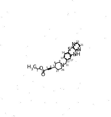 CCOC(=O)C#CC1CCN(Cc2ccc3c(c2)Nc2nccnc2S3)CC1